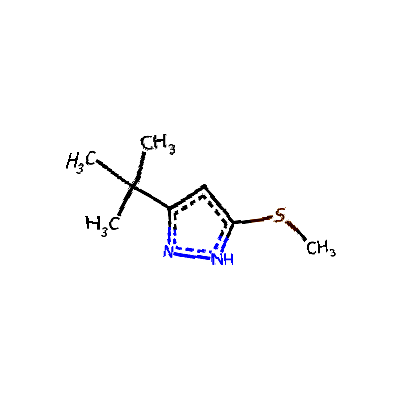 CSc1cc(C(C)(C)C)n[nH]1